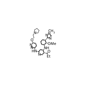 CCC(=O)c1cnc(Nc2ccc(OCCN3CCCC3)nn2)cc1Nc1cccc(-c2ncn(C)n2)c1OC